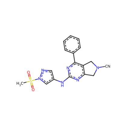 CS(=O)(=O)n1cc(Nc2nc3c(c(-c4ccccc4)n2)CN(C#N)C3)cn1